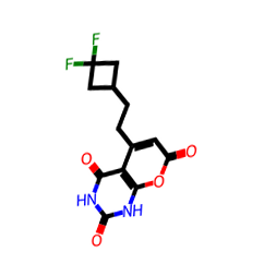 O=c1[nH]c(=O)c2c(CCC3CC(F)(F)C3)cc(=O)oc2[nH]1